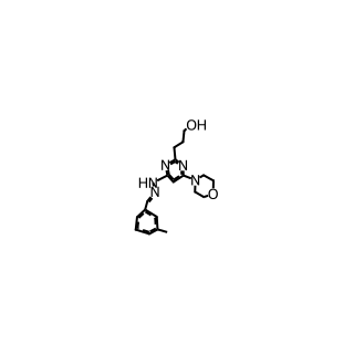 Cc1cccc(C=NNc2cc(N3CCOCC3)nc(CCCO)n2)c1